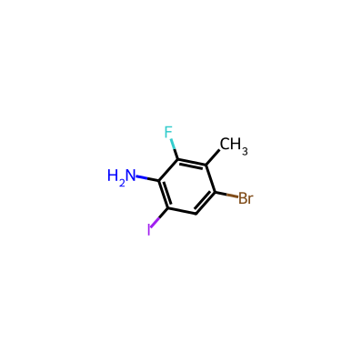 Cc1c(Br)cc(I)c(N)c1F